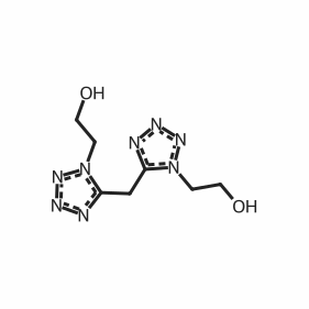 OCCn1nnnc1Cc1nnnn1CCO